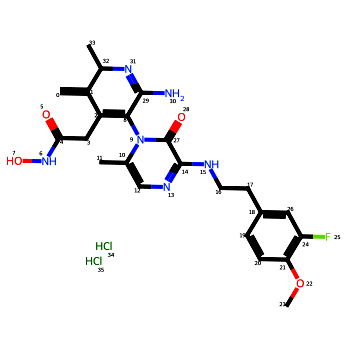 C=C1C(CC(=O)NO)=C(n2c(C)cnc(NCCc3ccc(OC)c(F)c3)c2=O)C(N)=NC1C.Cl.Cl